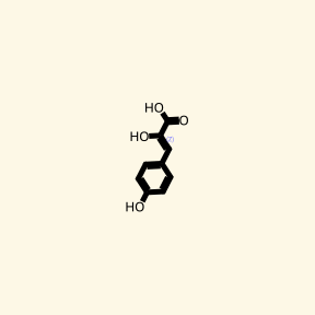 O=C(O)/C(O)=C/c1ccc(O)cc1